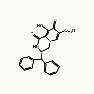 O=C(O)c1cn2c(c(O)c1=O)C(=O)N[C@H](C(c1ccccc1)c1ccccc1)C2